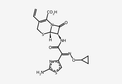 C=CC1=C(C(=O)O)N2C(=O)[C@@H](NC(=O)C(=NOC3CC3)c3csc(N)n3)[C@@H]2SC1